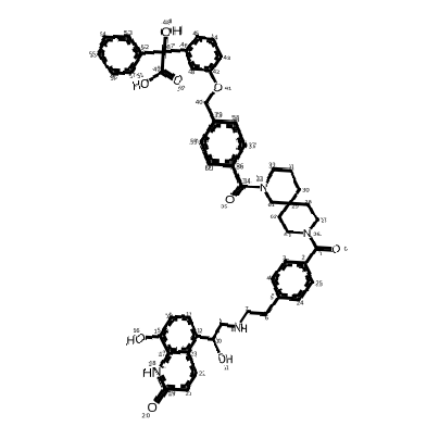 O=C(c1ccc(CCNCC(O)c2ccc(O)c3[nH]c(=O)ccc23)cc1)N1CCC2(CCCN(C(=O)c3ccc(COc4cccc(C(O)(C(=O)O)c5ccccc5)c4)cc3)C2)CC1